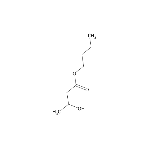 CCCCOC(=O)CC(C)O